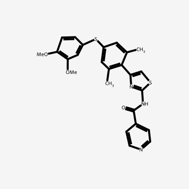 COc1ccc(Sc2cc(C)c(-c3csc(NC(=O)c4ccncc4)n3)c(C)c2)cc1OC